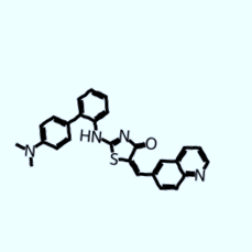 CN(C)c1ccc(-c2ccccc2NC2=NC(=O)C(=Cc3ccc4ncccc4c3)S2)cc1